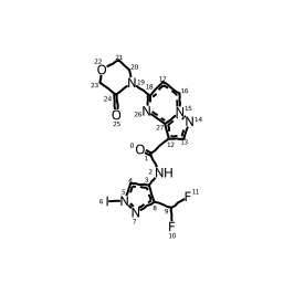 O=C(Nc1cn(I)nc1C(F)F)c1cnn2ccc(N3CCOCC3=O)nc12